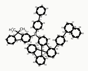 CC1(C)c2ccccc2-c2ccc(N(c3ccc(-c4ccccc4)cc3)c3ccc4c(c3)C3(c5ccccc5-c5ccccc53)c3cccc(-c5ccc(-c6cccc7ccccc67)cc5)c3-4)cc21